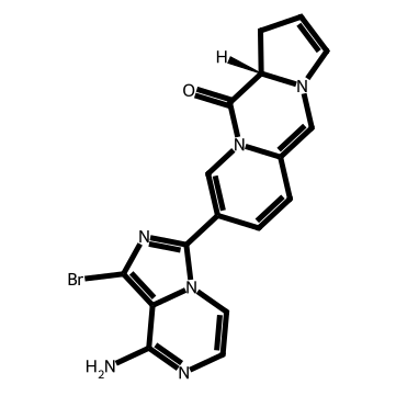 Nc1nccn2c(C3=CN4C(=O)[C@@H]5CC=CN5C=C4C=C3)nc(Br)c12